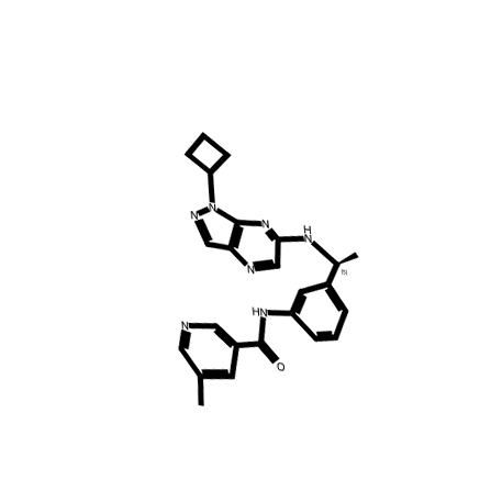 Cc1cncc(C(=O)Nc2cccc([C@H](C)Nc3cnc4cnn(C5CCC5)c4n3)c2)c1